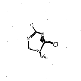 CCCCN1CN=C(Cl)N=C1Cl